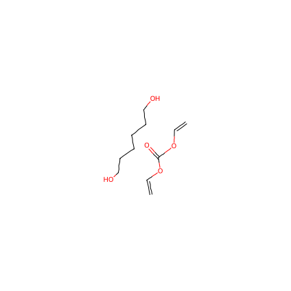 C=COC(=O)OC=C.OCCCCCCO